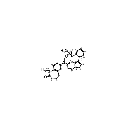 CN1C(=O)CCCc2cc(Nc3ncc4ccc(-c5ccccc5NS(C)(=O)=O)n4n3)ccc21